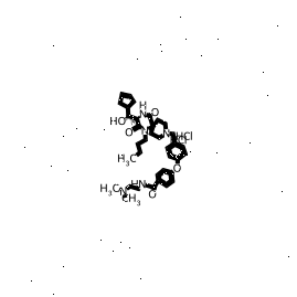 CCCCN1C(=O)[C@@H]([C@H](O)C2CC=CC2)NC(=O)C12CCN(Cc1ccc(Oc3ccc(C(=O)NCCN(C)C)cc3)cc1)CC2.Cl.Cl